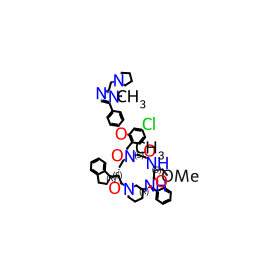 COC[C@@H]1NC(=O)[C@H](C)N(Cc2ccc(Cl)cc2Oc2ccc(-c3cnc(CN4CCCC4)n3C)cc2)C(=O)C[C@@H]([C@H]2CCc3ccccc32)C(=O)N2CCC[C@@](Cc3ccccc3)(C2)NC1=O